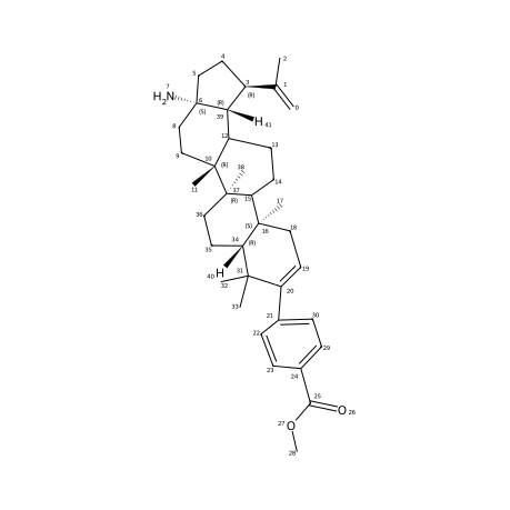 C=C(C)[C@@H]1CC[C@]2(N)CC[C@]3(C)C(CCC4[C@@]5(C)CC=C(c6ccc(C(=O)OC)cc6)C(C)(C)[C@@H]5CC[C@]43C)[C@@H]12